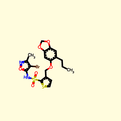 CCCc1cc2c(cc1OCc1ccsc1S(=O)(=O)Nc1onc(C)c1Br)OCO2